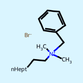 CCCCCCCCC[N+](C)(C)Cc1ccccc1.[Br-]